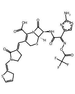 Nc1nc(/C(=N/OC(=O)C(F)(F)F)C(=O)N[C@@H]2C(=O)N3C(C(=O)O)=C(C=C4CCN(/C=C5\CC=CS5)C4=O)CS[C@H]23)cs1